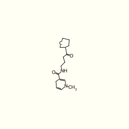 CN1C=CCC(C(=O)NCCCC(=O)C2CCCCC2)=C1